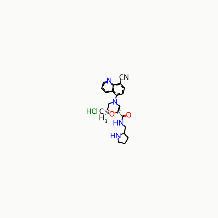 C[C@@H]1CN(c2ccc(C#N)c3ncccc23)C[C@H](C(=O)NCC2CCCN2)O1.Cl